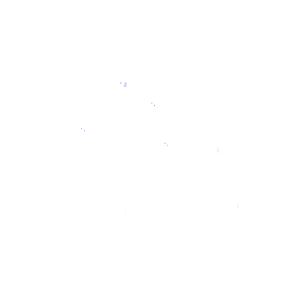 COc1cc(OC)c(Cl)c(NC/C(N)=C/C(=N)c2ccccc2N)c1C